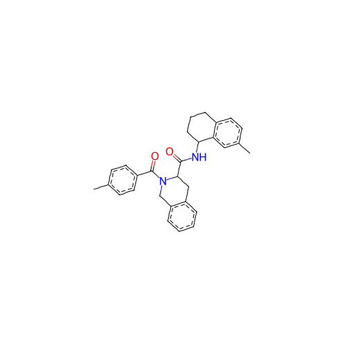 Cc1ccc(C(=O)N2Cc3ccccc3CC2C(=O)NC2CCCc3ccc(C)cc32)cc1